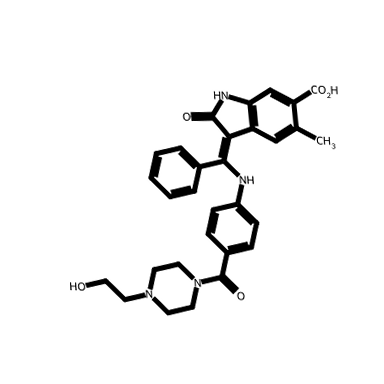 Cc1cc2c(cc1C(=O)O)NC(=O)C2=C(Nc1ccc(C(=O)N2CCN(CCO)CC2)cc1)c1ccccc1